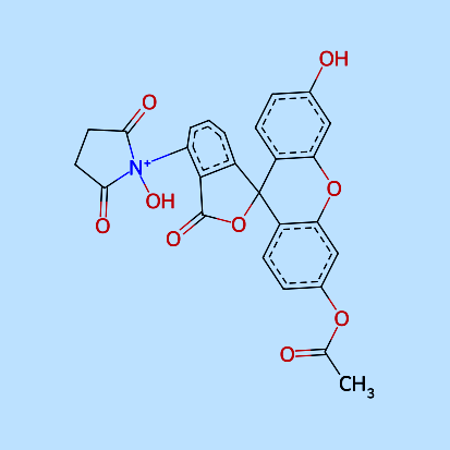 CC(=O)Oc1ccc2c(c1)Oc1cc(O)ccc1C21OC(=O)c2c1cccc2[N+]1(O)C(=O)CCC1=O